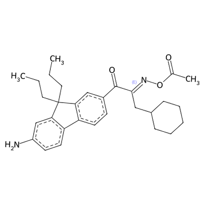 CCCC1(CCC)c2cc(N)ccc2-c2ccc(C(=O)/C(CC3CCCCC3)=N/OC(C)=O)cc21